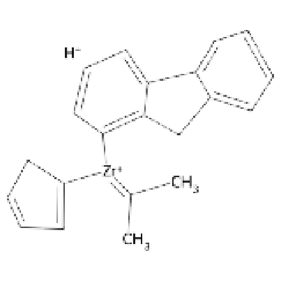 C[C](C)=[Zr+]([C]1=CC=CC1)[c]1cccc2c1Cc1ccccc1-2.[H-]